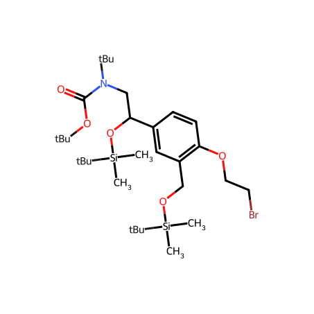 CC(C)(C)OC(=O)N(CC(O[Si](C)(C)C(C)(C)C)c1ccc(OCCBr)c(CO[Si](C)(C)C(C)(C)C)c1)C(C)(C)C